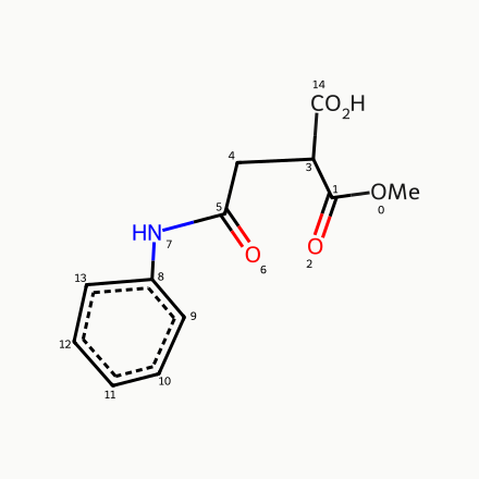 COC(=O)C(CC(=O)Nc1ccccc1)C(=O)O